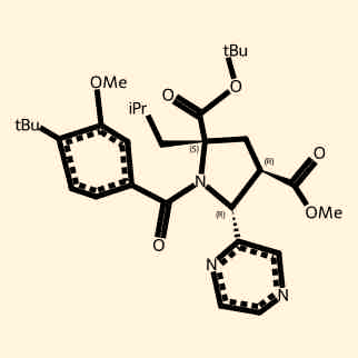 COC(=O)[C@@H]1C[C@@](CC(C)C)(C(=O)OC(C)(C)C)N(C(=O)c2ccc(C(C)(C)C)c(OC)c2)[C@H]1c1cnccn1